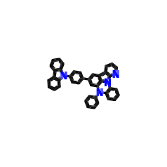 c1ccc(N2c3ccccc3-n3c4ncccc4c4cc(-c5ccc(-n6c7ccccc7c7ccccc76)cc5)cc2c43)cc1